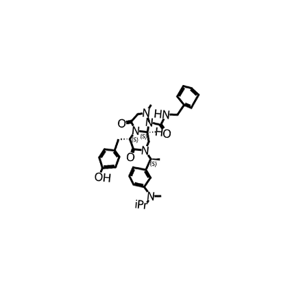 CC(C)N(C)c1cccc([C@H](C)N2C[C@H]3N(C(=O)CN(C)N3C(=O)NCc3ccccc3)[C@@H](Cc3ccc(O)cc3)C2=O)c1